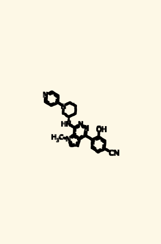 Cn1ccc2c(-c3ccc(C#N)cc3O)nnc(N[C@@H]3CCCN(c4ccncc4)C3)c21